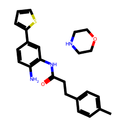 C1COCCN1.Cc1ccc(CCC(=O)Nc2cc(-c3cccs3)ccc2N)cc1